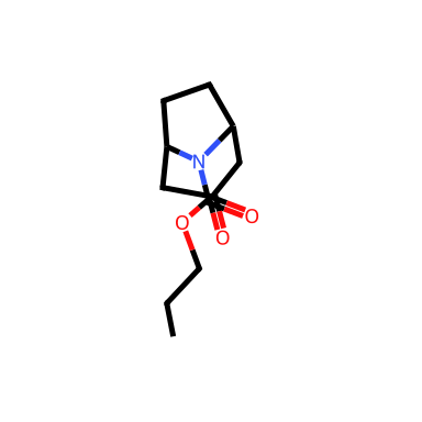 CCCOC(=O)N1C2CCC1CC(=O)C2